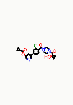 O=C(Oc1cncc(-c2ccc(C(=O)N3CCN(C(=O)C4(O)CC4)CC3)c(Cl)c2)c1)C1CC1